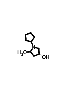 CC1C[C@@H](O)CN1C1CCCC1